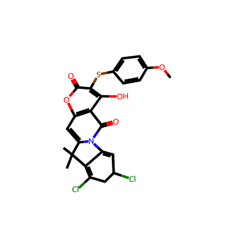 COc1ccc(Sc2c(O)c3c(=O)n4c(cc3oc2=O)C(C)(C)C2=C(Cl)CC(Cl)C=C24)cc1